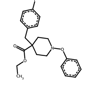 CCOC(=O)C1(Cc2ccc(F)cc2)CCN(Oc2ccccc2)CC1